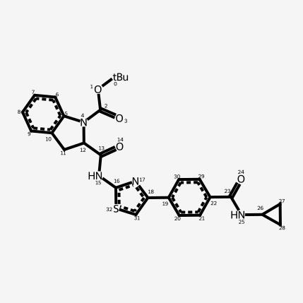 CC(C)(C)OC(=O)N1c2ccccc2CC1C(=O)Nc1nc(-c2ccc(C(=O)NC3CC3)cc2)cs1